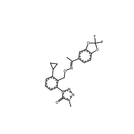 CC(=NOCc1c(C2CC2)cccc1-n1nnn(C)c1=O)c1ccc2c(c1)OC(F)(F)O2